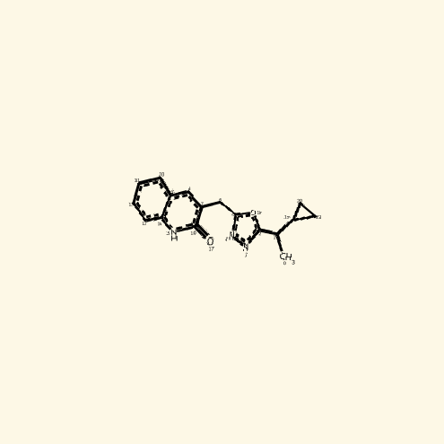 CC(c1nnc(Cc2cc3ccccc3[nH]c2=O)o1)C1CC1